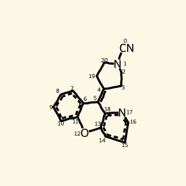 N#CN1CCC(=C2c3ccccc3Oc3cccnc32)CC1